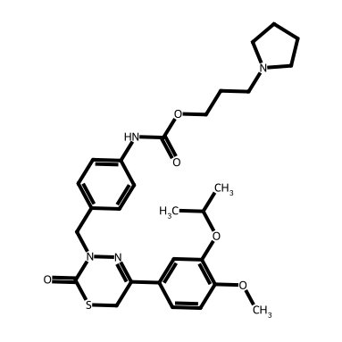 COc1ccc(C2=NN(Cc3ccc(NC(=O)OCCCN4CCCC4)cc3)C(=O)SC2)cc1OC(C)C